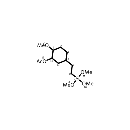 COC1CCC(CC[Si](OC)(OC)OC)CC1OC(C)=O